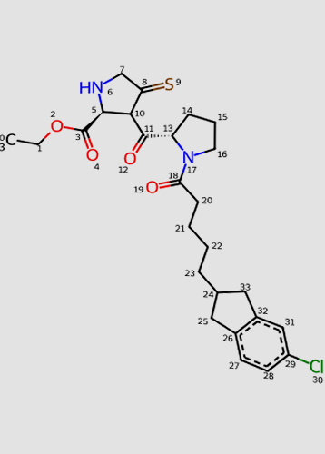 CCOC(=O)[C@H]1NCC(=S)C1C(=O)[C@@H]1CCCN1C(=O)CCCCC1Cc2ccc(Cl)cc2C1